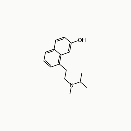 CC(C)N(C)CCc1cccc2ccc(O)cc12